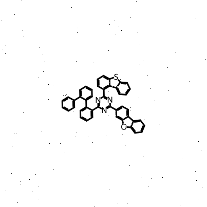 c1ccc(-c2ccccc2-c2ccccc2-c2nc(-c3ccc4c(c3)oc3ccccc34)nc(-c3cccc4sc5ccccc5c34)n2)cc1